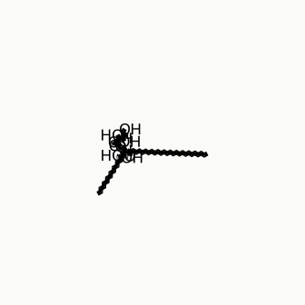 CCCCCCCCCCCCCCCCCCCCCCCCCC(=O)N[C@@H](COC1OOC1C(O)C(O)C(C)CO)[C@H](O)[C@H](O)CCCCCCCCCCCCCC